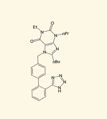 CCCCc1nc2c(c(=O)n(CC)c(=O)n2CCC)n1Cc1ccc(-c2ccccc2-c2nnn[nH]2)cc1